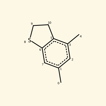 Cc1cc(C)c2c(c1)SCC2